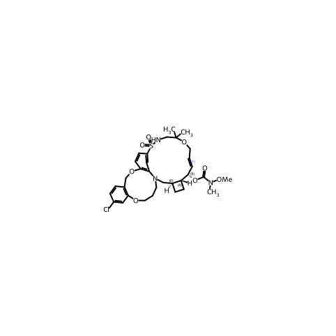 CON(C)C(=O)O[C@H]1/C=C/COC(C)(C)CNS(=O)(=O)c2ccc3c(c2)N(CCCOc2cc(Cl)ccc2CO3)C[C@@H]2CC[C@H]21